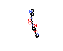 COc1cc(OCc2ccccn2)ccc1/C=C/C(=O)CC(=O)/C=C/c1ccc2cccnc2c1